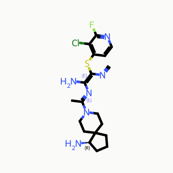 C=N/C(Sc1ccnc(F)c1Cl)=C(N)\N=C(/C)N1CCC2(CCC[C@H]2N)CC1